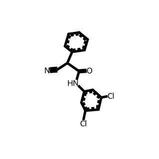 N#CC(C(=O)Nc1cc(Cl)cc(Cl)c1)c1ccccc1